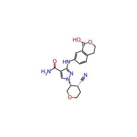 N#C[C@@H]1CCOC[C@H]1n1cc(C(N)=O)c(Nc2ccc3c(c2)B(O)OCC3)n1